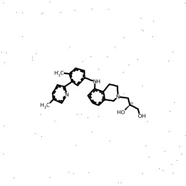 Cc1ccc(-c2cc(Nc3cccc4c3CCN(C[C@H](O)CO)C4)ccc2C)nc1